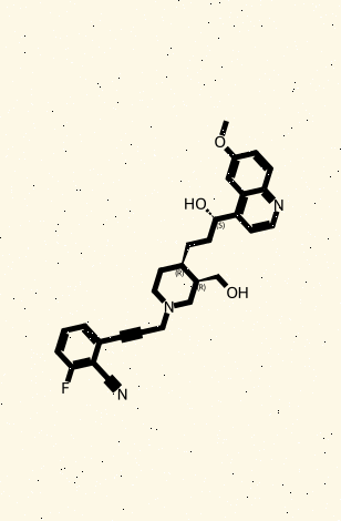 COc1ccc2nccc([C@@H](O)CC[C@@H]3CCN(CC#Cc4cccc(F)c4C#N)C[C@@H]3CO)c2c1